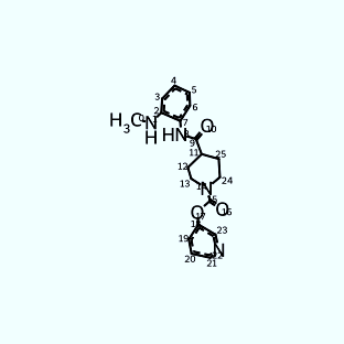 CNc1ccccc1NC(=O)C1CCN(C(=O)Oc2cccnc2)CC1